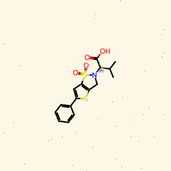 CC(C)[C@H](C(=O)O)N1Cc2sc(-c3ccccc3)cc2S1(=O)=O